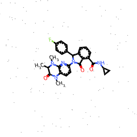 CC1C(=O)N(C)c2ccc(N3C(=O)c4c(C(=O)NC5CC5)cccc4C3c3ccc(F)cc3)nc2N1C